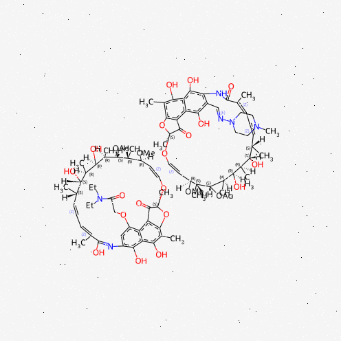 CCN(CC)C(=O)COc1cc2c(O)c3c(O)c(C)c4c(c13)C(=O)[C@@](C)(O/C=C\[C@H](OC)[C@@H](C)[C@@H](OC(C)=O)[C@H](C)[C@H](O)[C@H](C)[C@@H](O)[C@@H](C)/C=C\C=C(\C)C(O)=N2)O4.CO[C@H]1/C=C\O[C@@]2(C)Oc3c(C)c(O)c4c(O)c(c(/C=N/N5CCN(C)CC5)c(O)c4c3C2=O)NC(=O)/C(C)=C\C=C/[C@H](C)[C@H](O)[C@@H](C)[C@@H](O)[C@@H](C)[C@H](OC(C)=O)[C@@H]1C